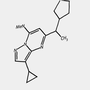 CNc1cc(C(C)C2CCCC2)nc2c(C3CC3)cnn12